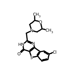 CC1CN(Cc2nc3c(sc4ccc(Cl)cc43)c(=O)[nH]2)CC(C)O1